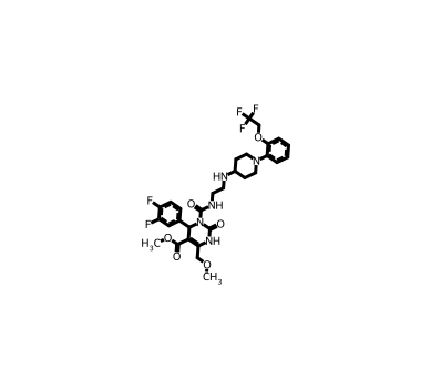 COCC1=C(C(=O)OC)C(c2ccc(F)c(F)c2)N(C(=O)NCCNC2CCN(c3ccccc3OCC(F)(F)F)CC2)C(=O)N1